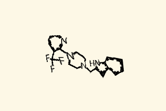 FC(F)(F)c1cccnc1N1CCN(Cc2cc3ccccc3[nH]2)CC1